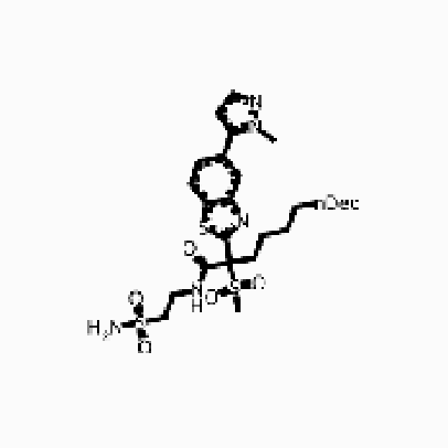 CCCCCCCCCCCCCCC(C(=O)NCCS(N)(=O)=O)(c1nc2cc(-c3ccnn3C)ccc2s1)S(C)(=O)=O